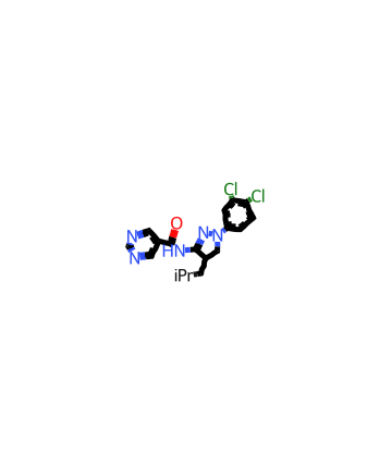 CC(C)CC1CN(c2ccc(Cl)c(Cl)c2)N=C1NC(=O)c1cncnc1